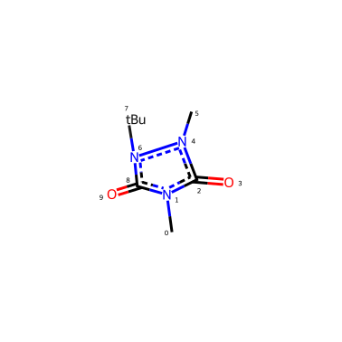 Cn1c(=O)n(C)n(C(C)(C)C)c1=O